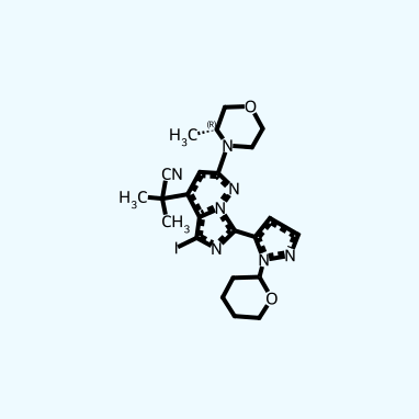 C[C@@H]1COCCN1c1cc(C(C)(C)C#N)c2c(I)nc(-c3ccnn3C3CCCCO3)n2n1